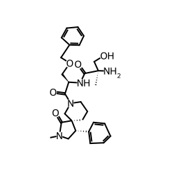 CN1C[C@@H](c2ccccc2)[C@@]2(CCCN(C(=O)[C@@H](COCc3ccccc3)NC(=O)[C@](C)(N)CO)C2)C1=O